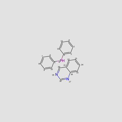 c1ccc(Pc2ccccc2)cc1.c1ccc2ncncc2c1